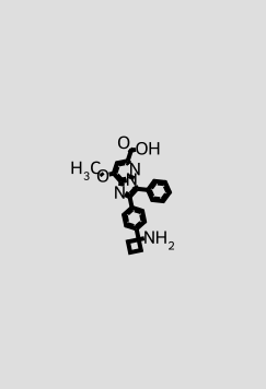 COc1cc(C(=O)O)nn2c(-c3ccccc3)c(-c3ccc(C4(N)CCC4)cc3)nc12